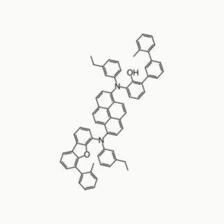 CCc1cccc(N(c2cccc(-c3cccc(-c4ccccc4C)c3)c2O)c2ccc3ccc4c(N(c5cccc(CC)c5)c5cccc6c5oc5c(-c7ccccc7C)cccc56)ccc5ccc2c3c54)c1